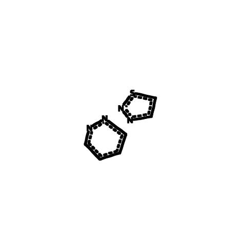 c1ccnnc1.c1csnn1